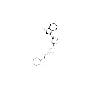 Cn1cc(-c2noc(CCNCCC3CCCCC3)n2)c2ccccc21